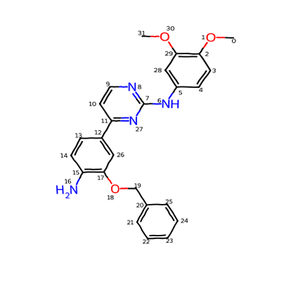 COc1ccc(Nc2nccc(-c3ccc(N)c(OCc4ccccc4)c3)n2)cc1OC